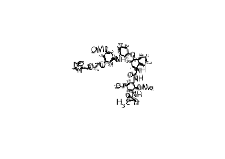 COc1cc(Nc2cc(Oc3ccc(NC(=O)Nc4cc(C(C)(C)C)cc(NS(C)(=O)=O)c4OC)c4ccccc34)ccn2)cc(OCCOCc2ncno2)c1